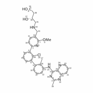 COc1nc(-c2cccc(-c3cccc(Nc4nc(C)nc5cccnc45)c3C)c2Cl)ccc1CNC[C@H](O)CC(=O)O